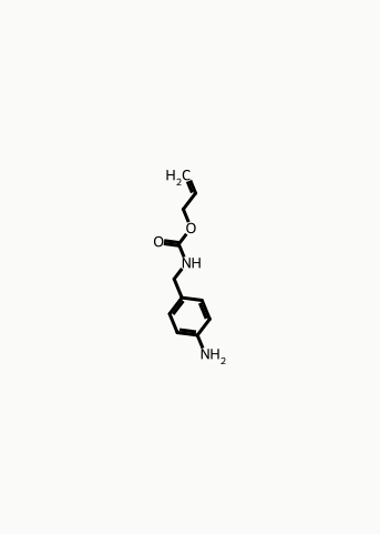 C=CCOC(=O)NCc1ccc(N)cc1